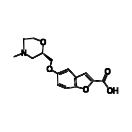 CN1CCO[C@@H](COc2ccc3oc(C(=O)O)cc3c2)C1